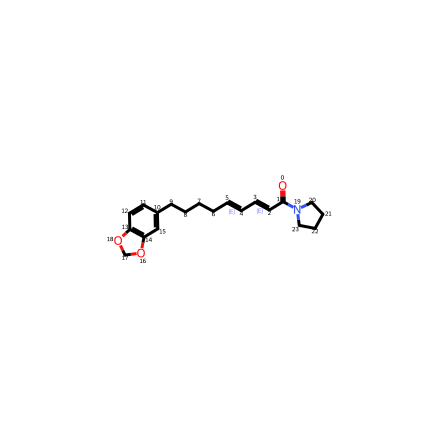 O=C(/C=C/C=C/CCCCc1ccc2c(c1)OCO2)N1CCCC1